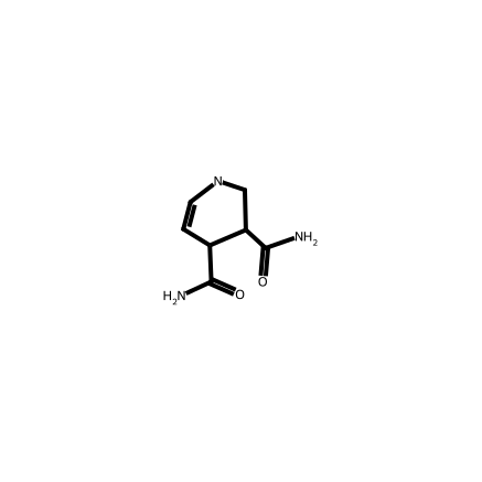 NC(=O)C1C=C[N]CC1C(N)=O